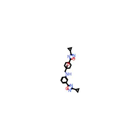 c1cc(NCC23CCC(c4nc(C5CC5)no4)(CC2)OC3)cc(-c2nc(C3CC3)no2)c1